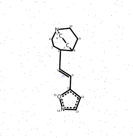 C(=C\C1CCN2CCC1CC2)/c1ccno1